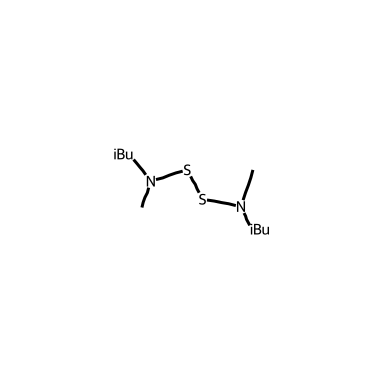 CCC(C)N(C)SSN(C)C(C)CC